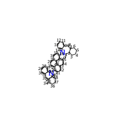 CC1C2CCCCC2(C)Cc2ccccc2N1c1ccc2ccc3c(N4c5ccccc5CC5(C)CCCCC45C)ccc4ccc1c2c43